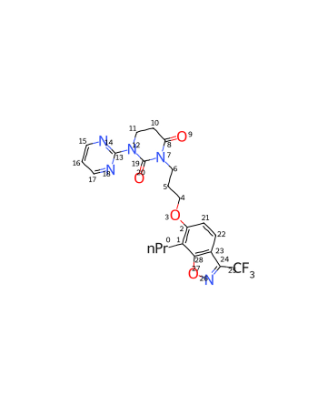 CCCc1c(OCCCN2C(=O)CCN(c3ncccn3)C2=O)ccc2c(C(F)(F)F)noc12